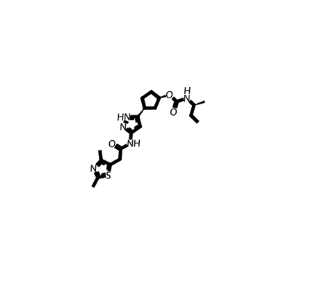 CC[C@H](C)NC(=O)O[C@@H]1CC[C@H](c2cc(NC(=O)Cc3sc(C)nc3C)n[nH]2)C1